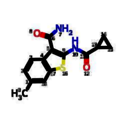 Cc1ccc2c(C(N)=O)c(NC(=O)C3CC3)sc2c1